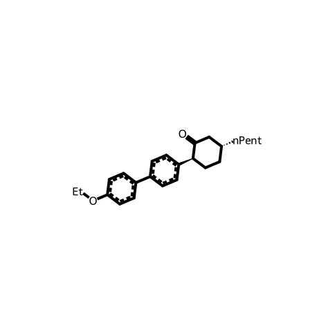 CCCCC[C@@H]1CC[C@@H](c2ccc(-c3ccc(OCC)cc3)cc2)C(=O)C1